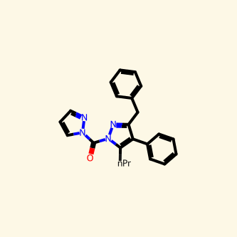 CCCc1c(-c2ccccc2)c(Cc2ccccc2)nn1C(=O)n1cccn1